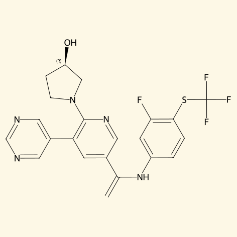 C=C(Nc1ccc(SC(F)(F)F)c(F)c1)c1cnc(N2CC[C@@H](O)C2)c(-c2cncnc2)c1